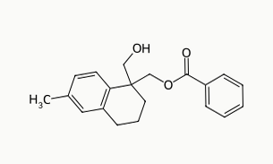 Cc1ccc2c(c1)CCCC2(CO)COC(=O)c1ccccc1